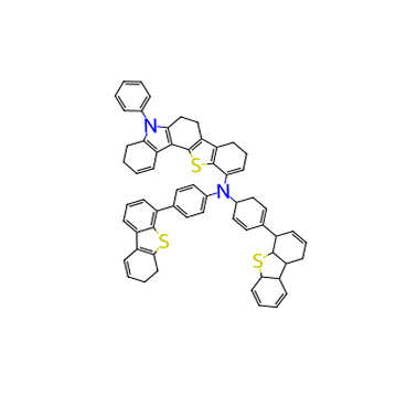 C1=CC2SC3C(C4=CCC(N(C5=CCCc6c5sc5c6CCc6c-5c5c(n6-c6ccccc6)CCC=C5)c5ccc(-c6cccc7c8c(sc67)CCC=C8)cc5)C=C4)C=CCC3C2C=C1